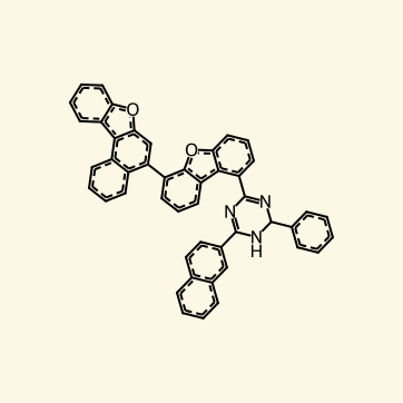 c1ccc(C2N=C(c3cccc4oc5c(-c6cc7oc8ccccc8c7c7ccccc67)cccc5c34)N=C(c3ccc4ccccc4c3)N2)cc1